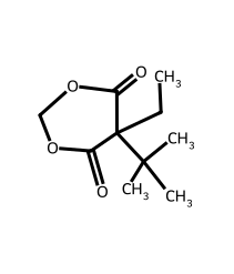 CCC1(C(C)(C)C)C(=O)OCOC1=O